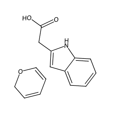 C1=CCOC=C1.O=C(O)Cc1cc2ccccc2[nH]1